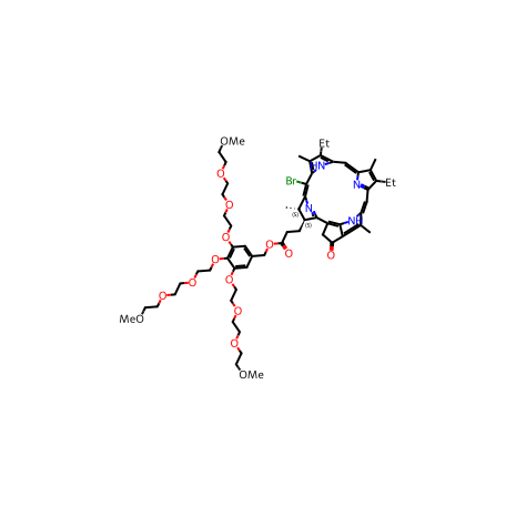 CCC1=C(C)c2cc3[nH]c(c(C)c3CC)c(Br)c3nc(c4c5[nH]c(cc1n2)c(C)c5C(=O)C4)[C@@H](CCC(=O)OCc1cc(OCCOCCOCCOC)c(OCCOCCOCCOC)c(OCCOCCOCCOC)c1)[C@@H]3C